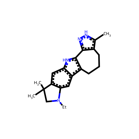 CCN1CC(C)(C)c2cc3[nH]c4c(c3cc21)CCCc1c-4n[nH]c1C